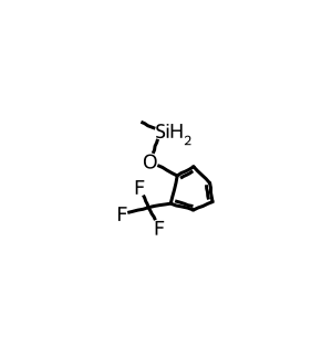 C[SiH2]Oc1ccccc1C(F)(F)F